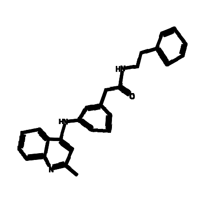 Cc1cc(Nc2cccc(CC(=O)NCCc3ccccc3)c2)c2ccccc2n1